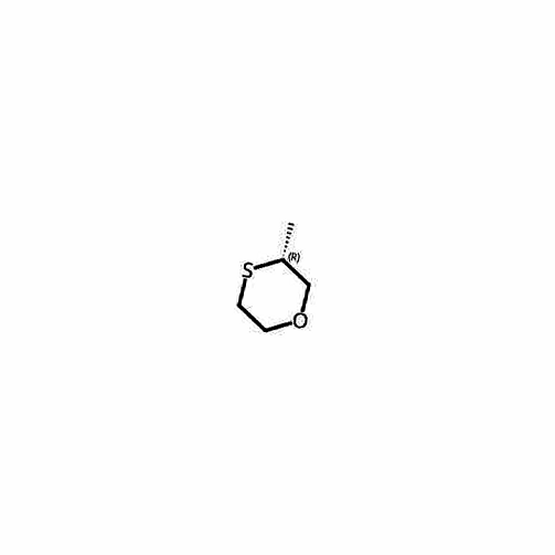 C[C@@H]1COCCS1